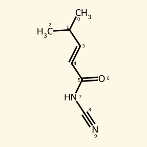 CC(C)C=CC(=O)NC#N